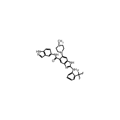 CN1CCN(c2cc3[nH]c(Nc4ccccc4C(F)(F)F)nc3cc2C(=O)Nc2ccc3[nH]ncc3c2)CC1